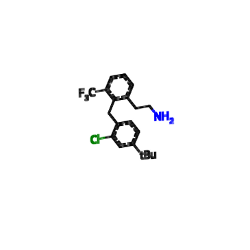 CC(C)(C)c1ccc(Cc2c(CCN)cccc2C(F)(F)F)c(Cl)c1